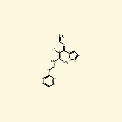 C=C/N=C(\C(C#N)=C(/C)NCCc1ccccc1)c1ccco1